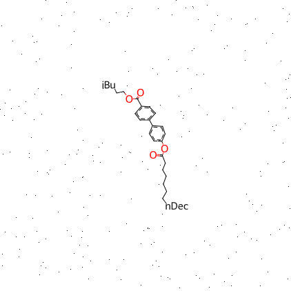 CCCCCCCCCCCCCCCCC(=O)Oc1ccc(-c2ccc(C(=O)OCCC(C)CC)cc2)cc1